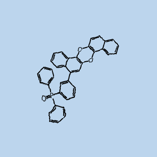 O=P(c1ccccc1)(c1ccccc1)c1cccc(-c2cc3c(c4ccccc24)Oc2ccc4ccccc4c2O3)c1